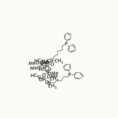 C#[Si]O[Si](OC)(O[Si](C)(C)CCCCCP(c1ccccc1)c1ccccc1)O[Si@](O)(OC)O[Si](O[Si]#C)(O[Si](C)(C)CCCCCP(c1ccccc1)c1ccccc1)O[Si](OC)(OC)OC